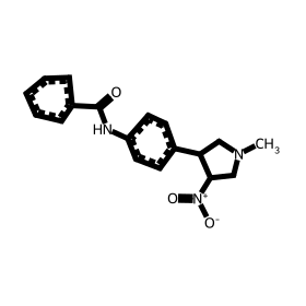 CN1CC(c2ccc(NC(=O)c3ccccc3)cc2)C([N+](=O)[O-])C1